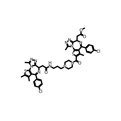 COC(=O)CC1N=C(c2ccc(Cl)cc2)c2c(sc(C(=O)N3CCN(CCCNC(=O)CC4N=C(c5ccc(Cl)cc5)c5c(sc(C)c5C)-n5c(C)nnc54)CC3)c2C)-n2c(C)nnc21